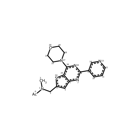 CC(=O)N(C)Cc1cc2nc(-c3cccnc3)nc(N3CCOCC3)c2s1